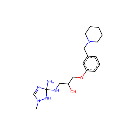 CN1C=NC(N)(NCC(O)COc2cccc(CN3CCCCC3)c2)N1